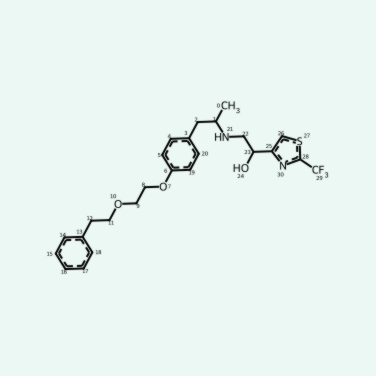 CC(Cc1ccc(OCCOCCc2ccccc2)cc1)NCC(O)c1csc(C(F)(F)F)n1